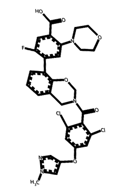 Cn1cc(Oc2cc(Cl)c(C(=O)N3COc4c(cccc4-c4cc(N5CCOCC5)c(C(=O)O)cc4F)C3)c(Cl)c2)cn1